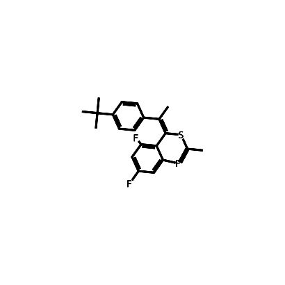 C=C(C)S/C(=C(\C)c1ccc(C(C)(C)C)cc1)c1c(F)cc(F)cc1F